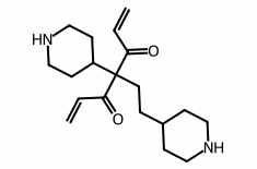 C=CC(=O)C(CCC1CCNCC1)(C(=O)C=C)C1CCNCC1